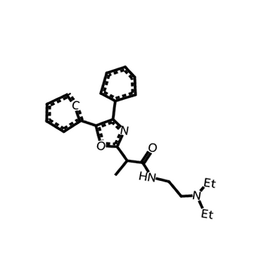 CCN(CC)CCNC(=O)C(C)c1nc(-c2ccccc2)c(-c2ccccc2)o1